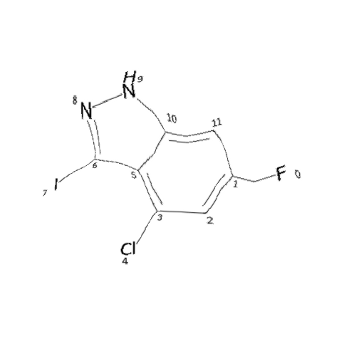 Fc1cc(Cl)c2c(I)n[nH]c2c1